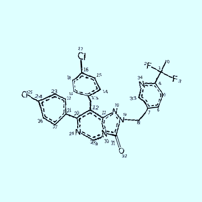 CC(F)(F)c1ccc(Cn2nc3c(-c4ccc(Cl)cc4)c(-c4ccc(Cl)cc4)ncn3c2=O)cn1